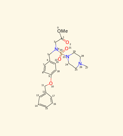 COC(=O)CN(Cc1ccc(OCc2ccccc2)cc1)S(=O)(=O)N1CCN(C)CC1